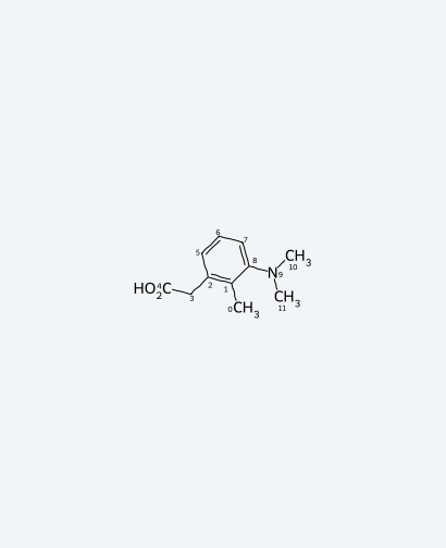 Cc1c(CC(=O)O)cccc1N(C)C